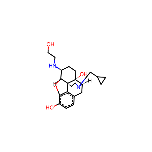 OCCN[C@H]1CC[C@@]2(O)[C@H]3Cc4ccc(O)c5c4[C@@]2(CCN3CC2CC2)[C@H]1O5